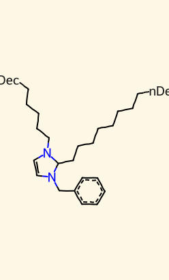 CCCCCCCCCCCCCCCCCCC1N(CCCCCCCCCCCCCCC)C=CN1Cc1ccccc1